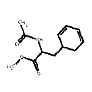 COC(=O)C(CC1C=CC=CC1)NC(C)=O